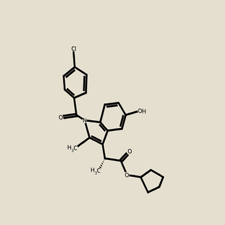 Cc1c([C@@H](C)C(=O)OC2CCCC2)c2cc(O)ccc2n1C(=O)c1ccc(Cl)cc1